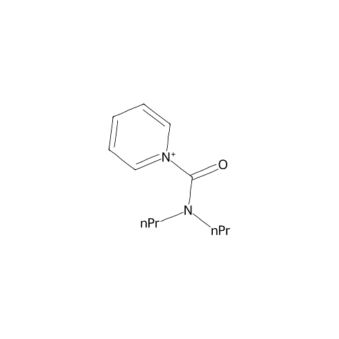 CCCN(CCC)C(=O)[n+]1ccccc1